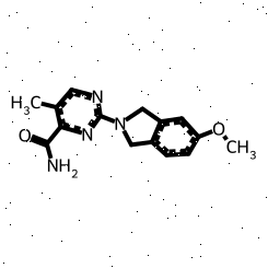 COc1ccc2c(c1)CN(c1ncc(C)c(C(N)=O)n1)C2